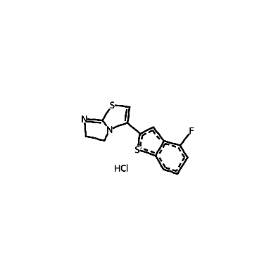 Cl.Fc1cccc2sc(C3=CSC4=NCCN34)cc12